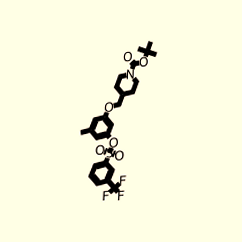 Cc1cc(OCC2CCN(C(=O)OC(C)(C)C)CC2)cc(OS(=O)(=O)c2cccc(C(F)(F)F)c2)c1